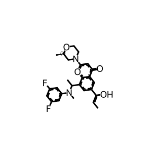 CC=C(O)c1cc(C(C)N(C)c2cc(F)cc(F)c2)c2oc(N3CCO[C@H](C)C3)cc(=O)c2c1